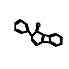 O=C1C2=C(C=CC1c1ccccc1)c1ccccc12